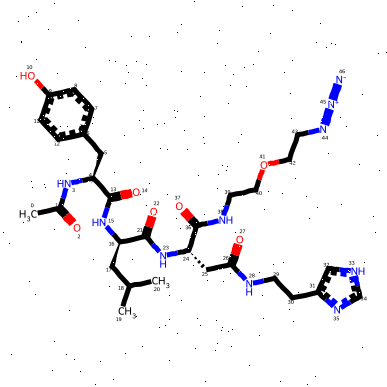 CC(=O)N[C@@H](Cc1ccc(O)cc1)C(=O)N[C@H](CC(C)C)C(=O)N[C@@H](CC(=O)NCCc1c[nH]cn1)C(=O)NCCOCCN=[N+]=[N-]